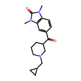 Cn1c(=O)n(C)c2cc(C(=O)C3CCCN(CC4CC4)C3)ccc21